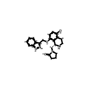 O=C1CCCN1C[C@H]1NCCc2c(Cl)ccc(OCc3noc4ccccc34)c21